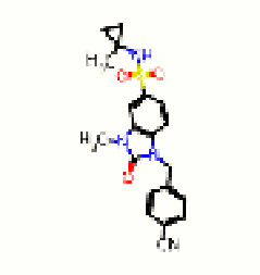 Cn1c(=O)n(Cc2ccc(C#N)cc2)c2ccc(S(=O)(=O)NC3(C)CC3)cc21